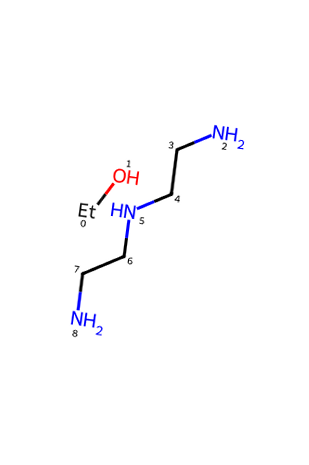 CCO.NCCNCCN